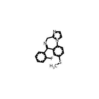 CSc1ccc2c(c1)C(c1ccccc1F)=NCc1nccn1-2